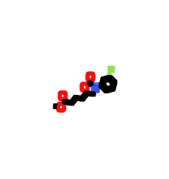 COC(=O)CCCC1CN(c2cccc(F)c2)C(=O)O1